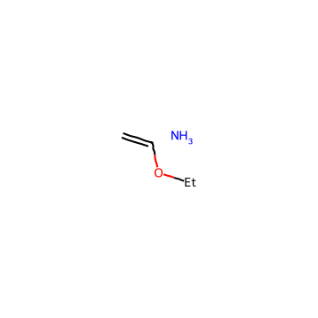 C=COCC.N